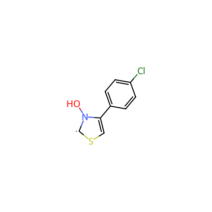 ON1[CH]SC=C1c1ccc(Cl)cc1